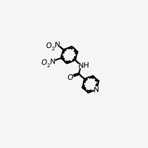 O=C(Nc1ccc([N+](=O)[O-])c([N+](=O)[O-])c1)c1ccncc1